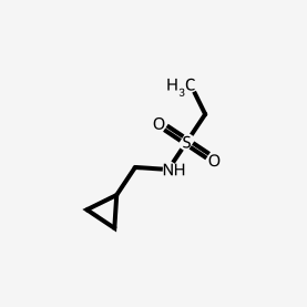 CCS(=O)(=O)NCC1CC1